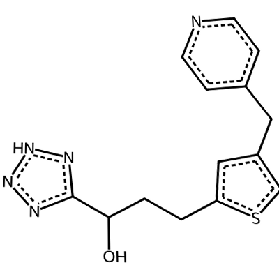 OC(CCc1cc(Cc2ccncc2)cs1)c1nn[nH]n1